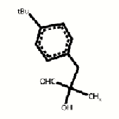 CC(O)(C=O)Cc1ccc(C(C)(C)C)cc1